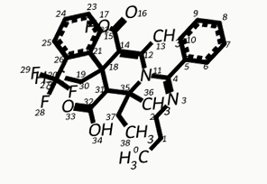 CCCN=C(c1ccccc1)N1C(C)=C(C(=O)O)C(CC)(c2ccccc2C(F)(F)F)C(C(=O)O)C1(C)CC